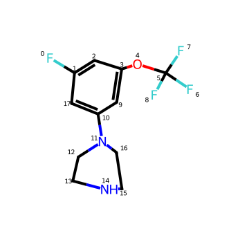 Fc1cc(OC(F)(F)F)cc(N2CCNCC2)c1